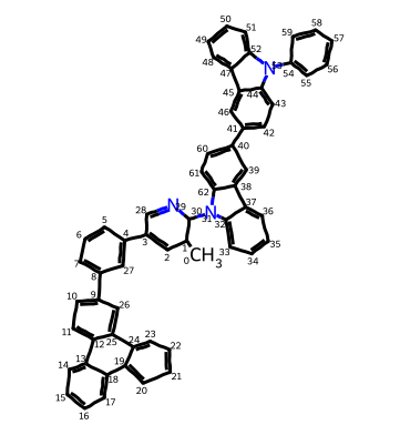 CC1C=C(c2cccc(-c3ccc4c5ccccc5c5ccccc5c4c3)c2)C=NC1n1c2ccccc2c2cc(-c3ccc4c(c3)c3ccccc3n4-c3ccccc3)ccc21